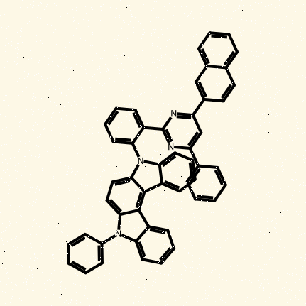 c1ccc(-c2cc(-c3ccc4ccccc4c3)nc(-c3ccccc3-n3c4ccccc4c4c5c6ccccc6n(-c6ccccc6)c5ccc43)n2)cc1